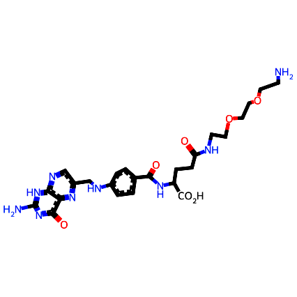 NCCOCCOCCNC(=O)CCC(NC(=O)c1ccc(NCc2cnc3[nH]c(N)nc(=O)c3n2)cc1)C(=O)O